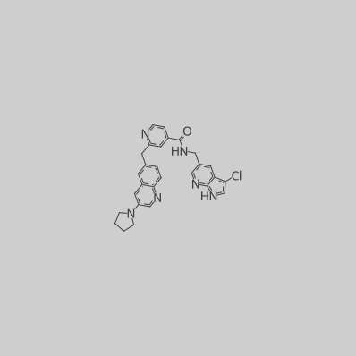 O=C(NCc1cnc2[nH]cc(Cl)c2c1)c1ccnc(Cc2ccc3ncc(N4CCCC4)cc3c2)c1